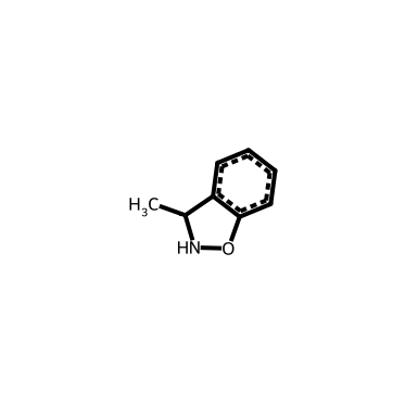 C[C]1NOc2ccccc21